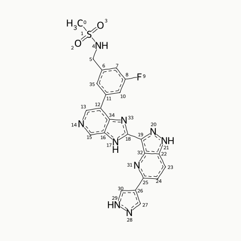 CS(=O)(=O)NCc1cc(F)cc(-c2cncc3[nH]c(-c4n[nH]c5ccc(-c6cn[nH]c6)nc45)nc23)c1